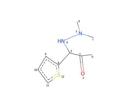 CC(=O)C(NN(C)C)c1cccs1